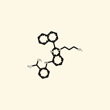 CCCCn1c(-c2cccc3ccccc23)nc2c(Nc3ccccc3C(C)C)cccc21